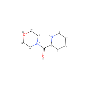 O=C(C1CCCC[N]1)N1CCOCC1